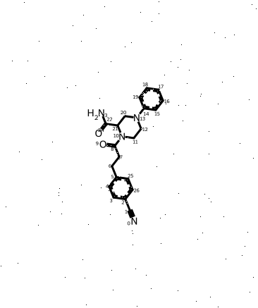 N#Cc1ccc(C[CH]C(=O)N2CCN(c3ccccc3)CC2C(N)=O)cc1